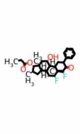 CCC(=O)O[C@@H]1[C@H](C)C[C@H]2[C@@H]3C[C@H](F)C4=C(F)C(=O)C(c5ccccc5)C[C@]4(C)[C@H]3[C@@H](O)C[C@]12C